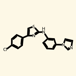 Clc1ccc(-c2csc(Nc3cccc(-n4ccnc4)c3)n2)cc1